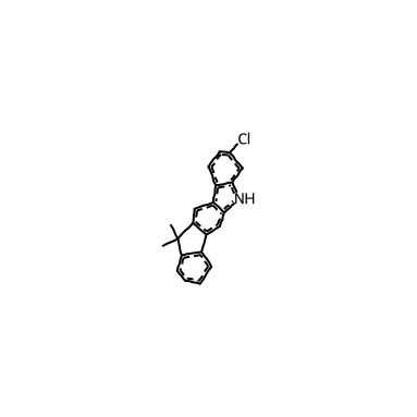 CC1(C)c2ccccc2-c2cc3[nH]c4cc(Cl)ccc4c3cc21